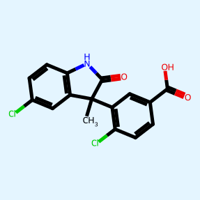 CC1(c2cc(C(=O)O)ccc2Cl)C(=O)Nc2ccc(Cl)cc21